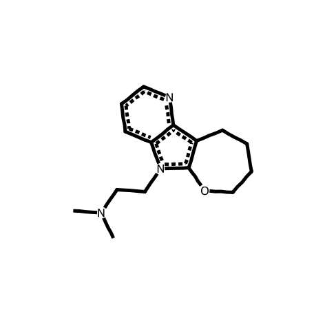 CN(C)CCn1c2c(c3ncccc31)CCCCO2